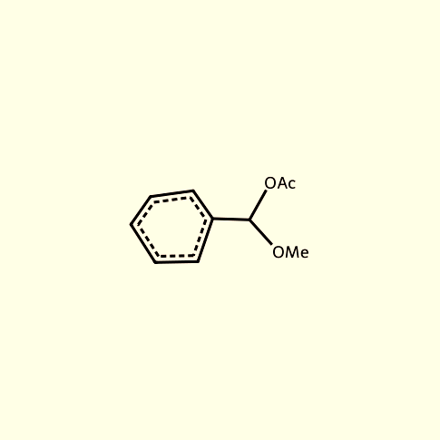 COC(OC(C)=O)c1ccccc1